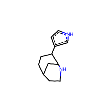 c1cc(C2CCC3CCNC2C3)c[nH]1